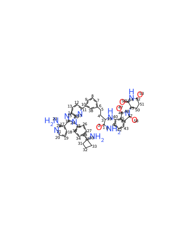 NC(=O)C(CCc1cccc(-c2ccc3nc(-c4cccnc4N)n(-c4ccc(C5(N)CCC5)cc4)c3n2)c1)Nc1cccc2c1C(=O)N(C1CCC(=O)NC1=O)C2=O